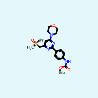 C=S(=O)(Cc1cc(N2CCOCC2)nc(-c2ccc(NC(=O)OC(C)(C)C)cc2)n1)C(C)C